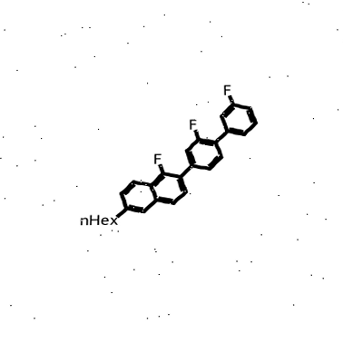 CCCCCCc1ccc2c(F)c(-c3ccc(-c4cccc(F)c4)c(F)c3)ccc2c1